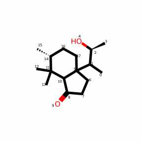 CC([C@H](C)O)C12CCC(=O)C1C(C)(C)[C@H](C)CC2